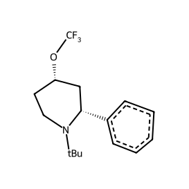 CC(C)(C)N1CC[C@H](OC(F)(F)F)C[C@@H]1c1ccccc1